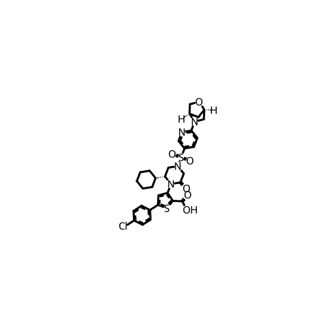 O=C(O)c1sc(-c2ccc(Cl)cc2)cc1N1C(=O)CN(S(=O)(=O)c2ccc(N3C[C@H]4C[C@@H]3CO4)nc2)C[C@H]1C1CCCCC1